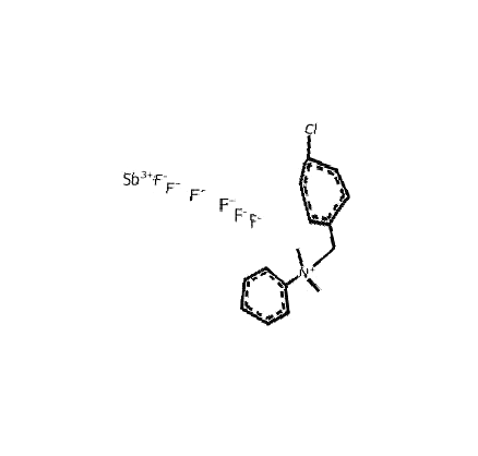 C[N+](C)(Cc1ccc(Cl)cc1)c1ccccc1.[F-].[F-].[F-].[F-].[F-].[F-].[Sb+3]